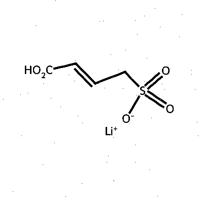 O=C(O)C=CCS(=O)(=O)[O-].[Li+]